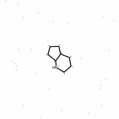 [CH]1CCNC2CCCC12